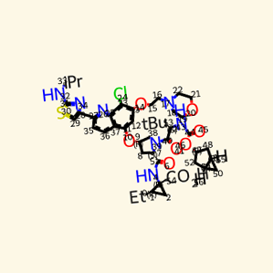 CC[C@@H]1C[C@]1(NC(=O)[C@@H]1C[C@@H](Oc2cc(OCCN3CCOCC3)c(Cl)c3nc(-c4csc(NC(C)C)n4)ccc23)CN1C(=O)[C@@H](NC(=O)O[C@@H]1C[C@@H]2C[C@@H]2C1)C(C)(C)C)C(=O)O